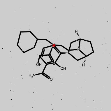 NC(=O)c1cccc([C@H]2C[C@H]3CC[C@@H](C2)N3CCN(CC2CCCCC2)C(=O)CO)c1O